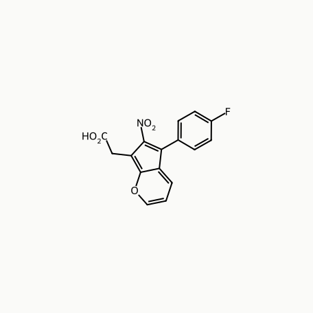 O=C(O)Cc1c2occcc-2c(-c2ccc(F)cc2)c1[N+](=O)[O-]